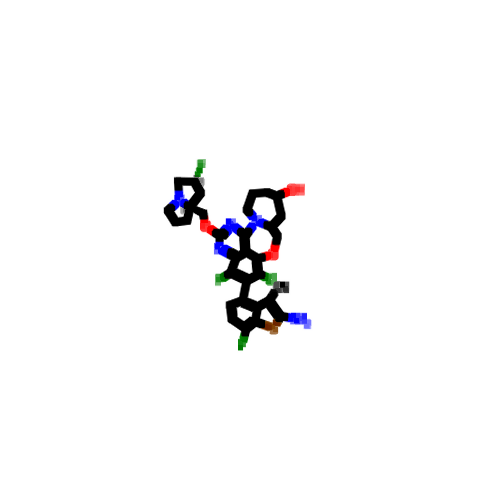 N#Cc1c(N)sc2c(F)ccc(-c3c(Cl)c4c5c(nc(OC[C@@]67CCCN6C[C@H](F)C7)nc5c3F)N3CCCC(O)CC3CO4)c12